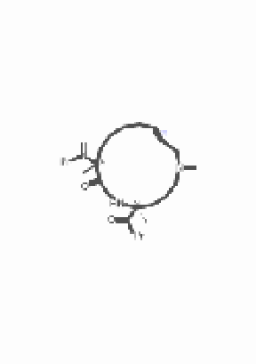 CC(C)N[C@]1(C)CCCC/C=C/CN(C)CCC[C@@](C)(C(=O)C(C)C)NCC1=O